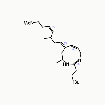 CCC(C)CC/C1=N/C/C=C\C(=C\CC(C)/C=C\CCNC)CC(C)N1